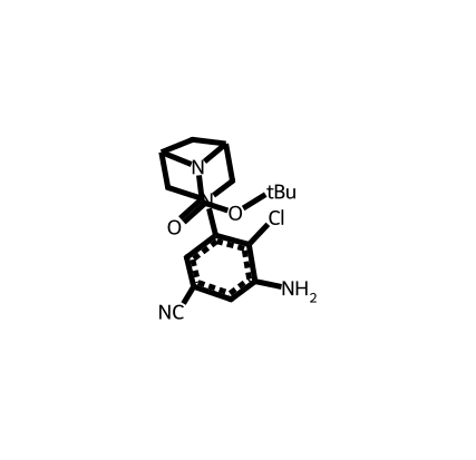 CC(C)(C)OC(=O)N1C2CC1CN(c1cc(C#N)cc(N)c1Cl)C2